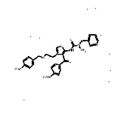 COc1ccc(COCCc2csc(NC(=S)N(N)Cc3cccnc3)c2C(=O)c2ccc(NC(C)=O)cc2)cc1